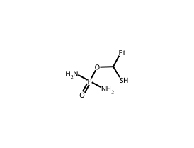 CCC(S)OP(N)(N)=O